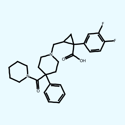 O=C(N1CCCCC1)C1(c2ccccc2)CCN(CC2CC2(C(=O)O)c2ccc(F)c(F)c2)CC1